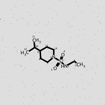 CCNS(=O)(=O)N1CCC(C(C)C)CC1